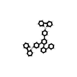 c1ccc(-c2ccccc2-c2ccc(-c3ccc(-n4c5ccccc5c5ccccc54)cc3)cc2-c2ccc(-n3c4ccccc4c4ccccc43)cc2)cc1